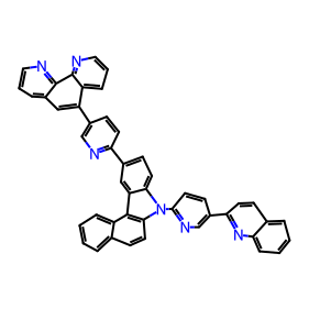 c1ccc2nc(-c3ccc(-n4c5ccc(-c6ccc(-c7cc8cccnc8c8ncccc78)cn6)cc5c5c6ccccc6ccc54)nc3)ccc2c1